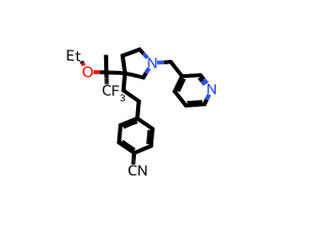 CCOC(C)(C(F)(F)F)C1(CCc2ccc(C#N)cc2)CCN(Cc2cccnc2)C1